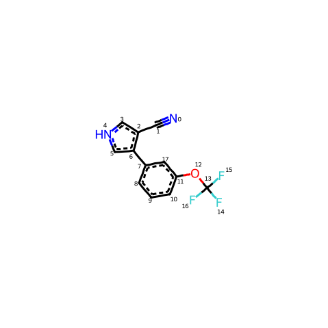 N#Cc1c[nH]cc1-c1cccc(OC(F)(F)F)c1